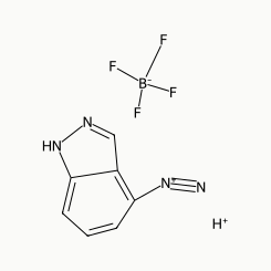 F[B-](F)(F)F.N#[N+]c1cccc2[nH]ncc12.[H+]